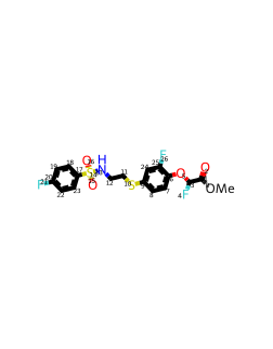 COC(=O)C(F)Oc1ccc(SCCNS(=O)(=O)c2ccc(F)cc2)cc1F